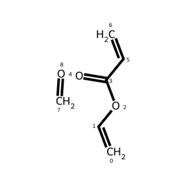 C=COC(=O)C=C.C=O